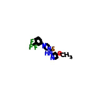 COc1ccnc(NC(=S)N2CCN(c3cccc(C(F)(F)F)c3)CC2)c1